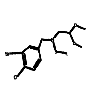 COC(CN(Cc1ccc(Cl)c(Br)c1)SI)OC